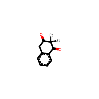 CCC1(CC)C(=O)[C]c2ccccc2C1=O